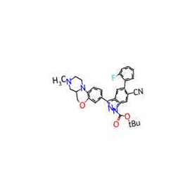 CN1CCN2c3ccc(-c4nn(C(=O)OC(C)(C)C)c5cc(C#N)c(-c6ccccc6F)cc45)cc3OCC2C1